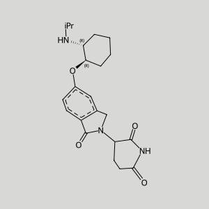 CC(C)N[C@@H]1CCCC[C@H]1Oc1ccc2c(c1)CN(C1CCC(=O)NC1=O)C2=O